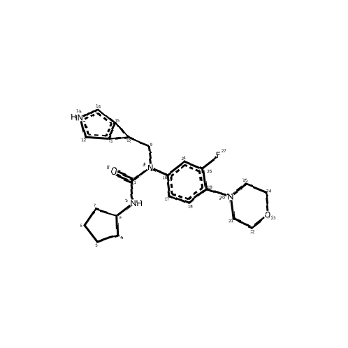 O=C(NC1CCCC1)N(CC1c2c[nH]cc21)c1ccc(N2CCOCC2)c(F)c1